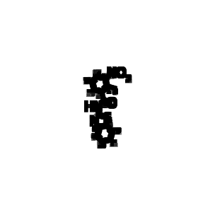 Cc1c(C(=O)Nc2nc3ccccc3s2)cccc1[N+](=O)[O-]